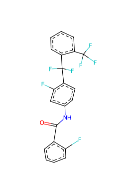 O=C(Nc1ccc(C(F)(F)c2ccccc2C(F)(F)F)c(F)c1)c1ccccc1F